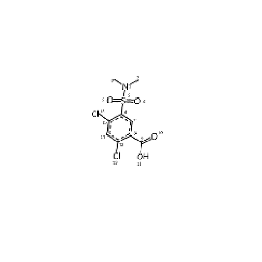 CN(C)S(=O)(=O)c1cc(C(=O)O)c(Cl)cc1Cl